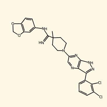 CC1(C(=N)Nc2ccc3c(c2)OCO3)CCN(c2cnc3c(-c4cccc(Cl)c4Cl)n[nH]c3n2)CC1